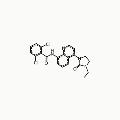 CCN1CCN(c2ccnc3c(NC(=O)c4c(Cl)cccc4Cl)cccc23)C1=O